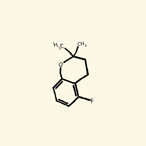 CC1(C)CCc2c(F)cccc2O1